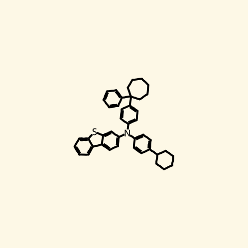 c1ccc(C2(c3ccc(N(c4ccc(C5CCCCC5)cc4)c4ccc5c(c4)sc4ccccc45)cc3)CCCCCC2)cc1